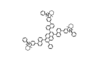 CC12CCCCC1(C)N(c1ccccc1)c1ccc(-c3cccc4c(-c5cc(-c6ccccc6)c6ccc7c(-c8cccc9c(-c%10ccc%11c(c%10)C%10(C)CCCCC%10(C)N%11c%10ccccc%10)cccc89)cc(-c8cccc9c(-c%10ccc%11c(c%10)C%10(C)CCCCC%10(C)N%11c%10ccccc%10)cccc89)c8ccc5c6c78)cccc34)cc12